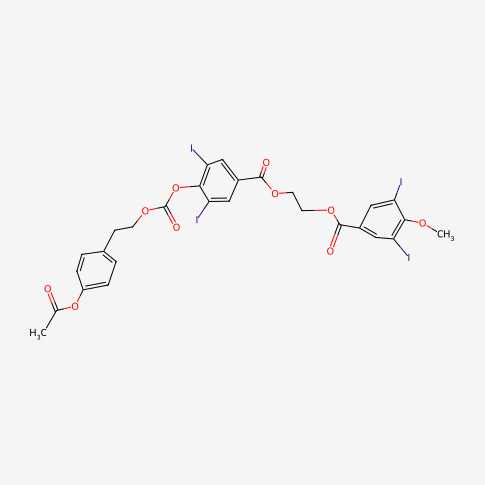 COc1c(I)cc(C(=O)OCCOC(=O)c2cc(I)c(OC(=O)OCCc3ccc(OC(C)=O)cc3)c(I)c2)cc1I